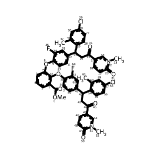 COC(=O)c1cccc(Oc2ccc(C(CC(=O)c3ccc(=O)n(C)c3)c3ccc(Cl)cc3C)cc2F)c1Oc1ccc(C(CC(=O)c2ccc(=O)n(C)c2)c2ccc(Cl)cc2C)cc1F